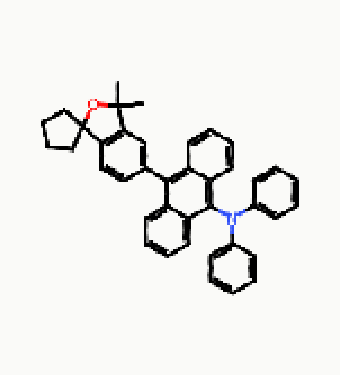 CC1(C)OC2(CCCC2)c2ccc(-c3c4ccccc4c(N(c4ccccc4)c4ccccc4)c4ccccc34)cc21